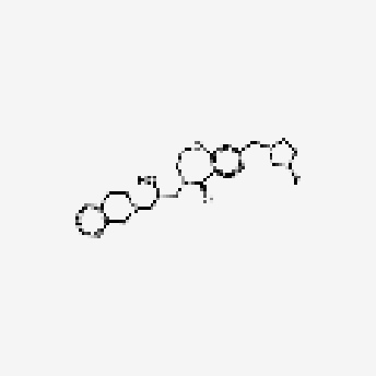 O=C1c2ccc(CN3CCC(F)C3)cc2OCCN1CC(O)CN1CCc2ccccc2C1